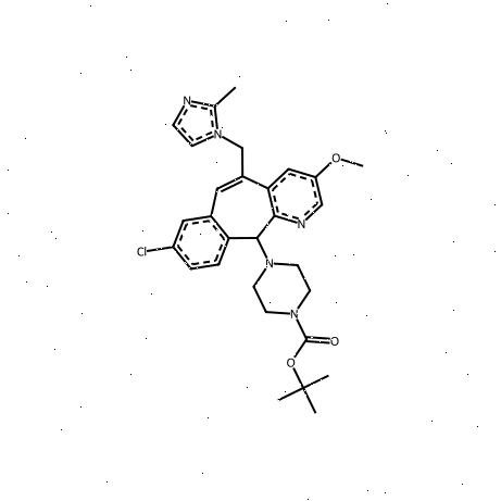 COc1cnc2c(c1)C(Cn1ccnc1C)=Cc1cc(Cl)ccc1C2N1CCN(C(=O)OC(C)(C)C)CC1